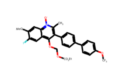 CCOC(=O)OCOc1c(-c2ccc(-c3ccc(OC(F)(F)F)cc3)cc2)c(C)[n+]([O-])c2cc(OC)c(F)cc12